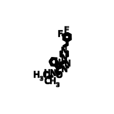 CC(C)CNC(=O)c1c2n(c3c(N4CCN(CCc5ccc(F)c(F)c5)CC4)ncnc13)CCCC2